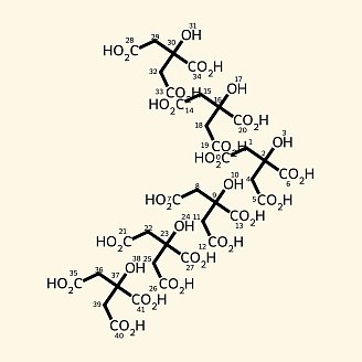 O=C(O)CC(O)(CC(=O)O)C(=O)O.O=C(O)CC(O)(CC(=O)O)C(=O)O.O=C(O)CC(O)(CC(=O)O)C(=O)O.O=C(O)CC(O)(CC(=O)O)C(=O)O.O=C(O)CC(O)(CC(=O)O)C(=O)O.O=C(O)CC(O)(CC(=O)O)C(=O)O